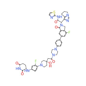 O=C1CCC(Nc2ccc(N3CCC(O)(CC(=O)N4CCN(c5ccc(-c6cc(F)c7c(c6)C(=O)N(C(C(=O)Nc6nccs6)c6ncn8c6CCC8)C7)cc5)CC4)CC3)c(F)c2)C(=O)N1